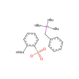 CCCCCCc1ccccc1S(=O)(=O)[O-].CCCC[P+](CCCC)(CCCC)Cc1ccccc1